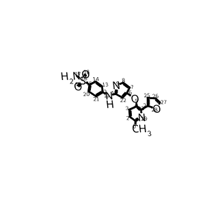 Cc1ccc(Oc2ccnc(Nc3ccc(S(N)(=O)=O)cc3)c2)c(-c2ccco2)n1